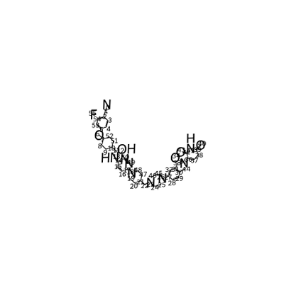 N#Cc1ccc(OC2CCC(C(O)Nc3ccc(N4CCC(CN5CCN(c6ccc7c(c6)C(=O)N(C6CCC(=O)NC6=O)C7)CC5)CC4)nn3)CC2)cc1F